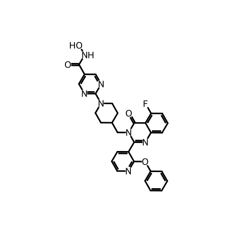 O=C(NO)c1cnc(N2CCC(Cn3c(-c4cccnc4Oc4ccccc4)nc4cccc(F)c4c3=O)CC2)nc1